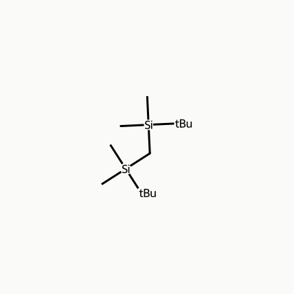 CC(C)(C)[Si](C)(C)C[Si](C)(C)C(C)(C)C